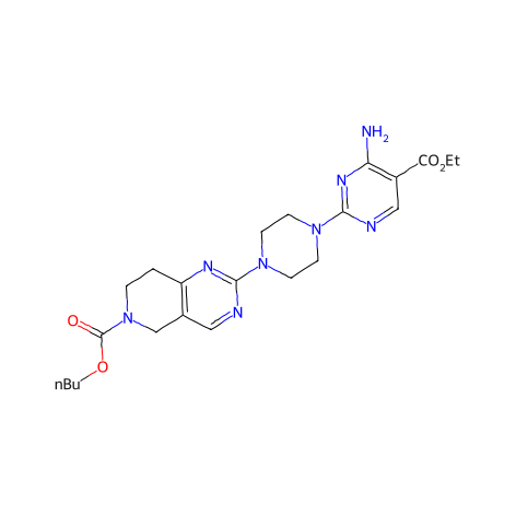 CCCCOC(=O)N1CCc2nc(N3CCN(c4ncc(C(=O)OCC)c(N)n4)CC3)ncc2C1